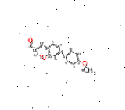 COc1ccc(-c2ccc3c(c2)OCC(C=O)=C3)cc1